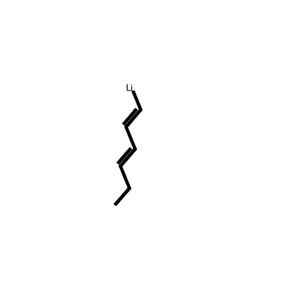 [Li][CH]=CC=CCC